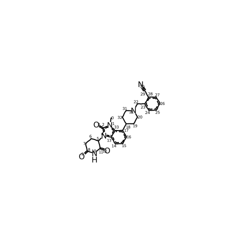 Cn1c(=O)n(C2CCC(=O)NC2=O)c2cccc(C3CCN(Cc4ccccc4C#N)CC3)c21